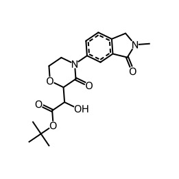 CN1Cc2ccc(N3CCOC(C(O)C(=O)OC(C)(C)C)C3=O)cc2C1=O